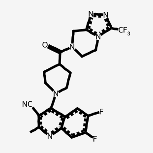 Cc1nc2cc(F)c(F)cc2c(N2CCC(C(=O)N3CCn4c(nnc4C(F)(F)F)C3)CC2)c1C#N